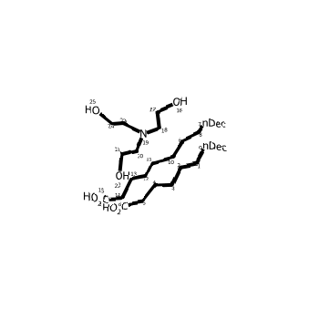 CCCCCCCCCCCCCCCC(=O)O.CCCCCCCCCCCCCCCCCC(=O)O.OCCN(CCO)CCO